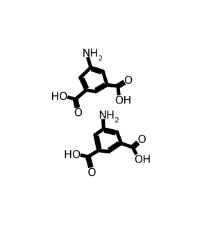 Nc1cc(C(=O)O)cc(C(=O)O)c1.Nc1cc(C(=O)O)cc(C(=O)O)c1